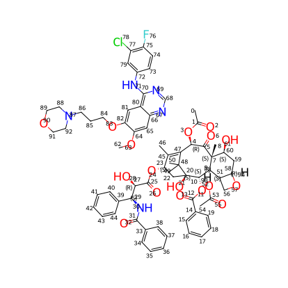 CC(=O)O[C@H]1C(=O)[C@@]2(C)[C@H]([C@H](OC(=O)c3ccccc3)[C@]3(O)C[C@H](OC(=O)[C@H](O)[C@@H](NC(=O)c4ccccc4)c4ccccc4)C(C)=C1C3(C)C)[C@]1(OC(C)=O)CO[C@@H]1C[C@@H]2O.COc1cc2ncnc(Nc3ccc(F)c(Cl)c3)c2cc1OCCCN1CCOCC1